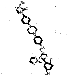 CCC(C)n1ncn(-c2ccc(N3CCN(c4ccc(OC[C@@H]5CO[C@@](Cn6nccn6)(c6cc(C#N)ccc6Cl)O5)cc4)CC3)cc2)c1=O